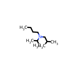 CCCCN(CC(C)C)C(C)C